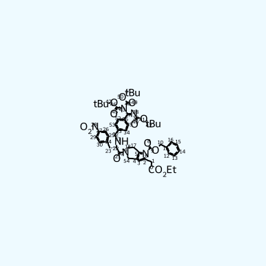 CCOC(=O)Cc1cc2c(n1C(=O)OCc1ccccc1)CCN(C(=O)[C@H](Cc1ccc([N+](=O)[O-])cc1)NCc1ccc(C(=NC(=O)OC(C)(C)C)N(C(=O)OC(C)(C)C)C(=O)OC(C)(C)C)cc1)C2